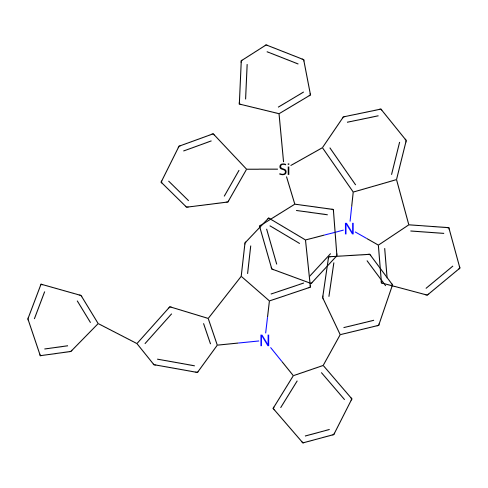 c1ccc(-c2ccc3c(c2)c2ccc(-n4c5ccccc5c5cccc([Si](c6ccccc6)(c6ccccc6)c6ccccc6)c54)cc2n3-c2ccccc2-c2ccccc2)cc1